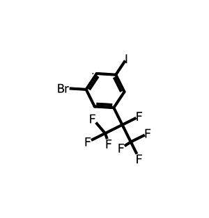 FC(F)(F)C(F)(c1cc(Br)[c]c(I)c1)C(F)(F)F